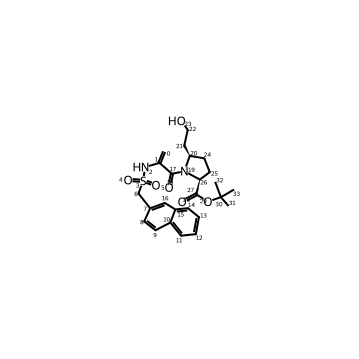 C=C(NS(=O)(=O)Cc1ccc2ccccc2c1)C(=O)N1[C@@H](CCO)CC[C@H]1C(=O)OC(C)(C)C